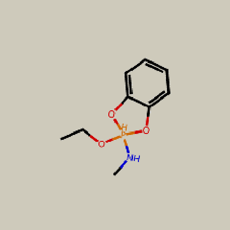 CCO[PH]1(NC)Oc2ccccc2O1